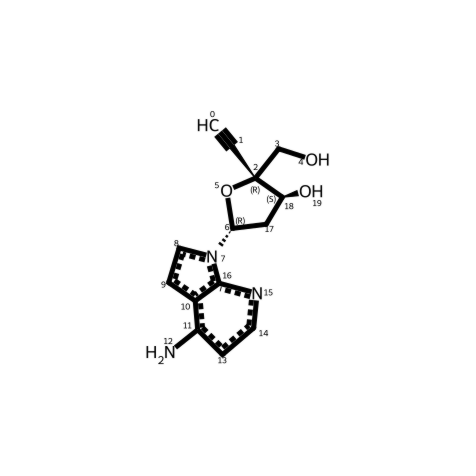 C#C[C@]1(CO)O[C@@H](n2ccc3c(N)ccnc32)C[C@@H]1O